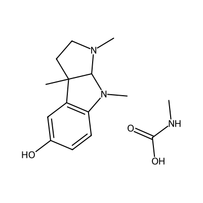 CN1CCC2(C)c3cc(O)ccc3N(C)C12.CNC(=O)O